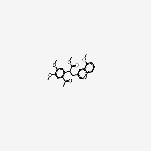 COC(=O)C(Cc1cnc2cccc(OC)c2c1)c1cc(OC)c(OC)cc1C(C)=O